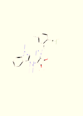 Cc1ccc(C(F)(F)F)c(CNc2c(Nc3c[nH]c4ccccc34)c(=O)c2=O)c1